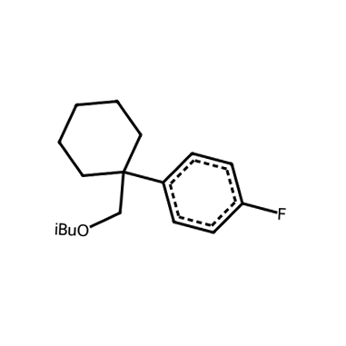 CC(C)COCC1(c2ccc(F)cc2)CCCCC1